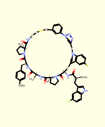 COc1ccc(C[C@@H]2NC(=O)[C@H](C)NC(=O)[C@@H]3CCCN3C(=O)[C@H](NC(=O)[C@H](Cc3c[nH]c4ccc(F)cc34)NC(C)=O)Cc3cn(c4ccc(F)cc34)Cc3cn(nn3)-c3cccc(c3)CSCCNC(=O)[C@]3(C)CCCN3C2=O)cc1